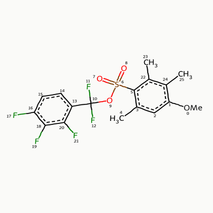 COc1cc(C)c(S(=O)(=O)OC(F)(F)c2ccc(F)c(F)c2F)c(C)c1C